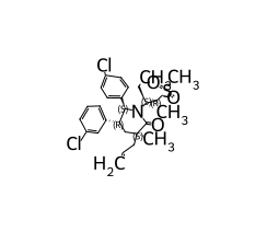 C=CC[C@@]1(C)C[C@H](c2cccc(Cl)c2)[C@@H](c2ccc(Cl)cc2)N([C@@H](CC)[C@@H](C)S(C)(=O)=O)C1=O